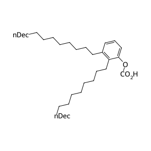 CCCCCCCCCCCCCCCCCCc1cccc(OC(=O)O)c1CCCCCCCCCCCCCCCCCC